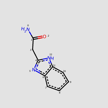 NC(=O)Cc1nc2c[c]ccc2[nH]1